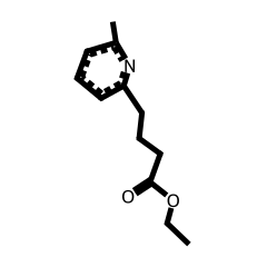 CCOC(=O)CCCc1cccc(C)n1